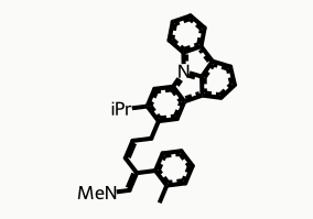 CN/C=C(\C=C/Cc1cc2c3cccc4c5ccccc5n(c2cc1C(C)C)c43)c1ccccc1C